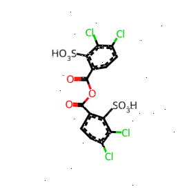 O=C(OC(=O)c1ccc(Cl)c(Cl)c1S(=O)(=O)O)c1ccc(Cl)c(Cl)c1S(=O)(=O)O